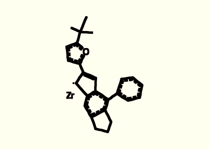 CC(C)(C)c1ccc(C2=Cc3c(cc4c(c3-c3ccccc3)CCC4)[CH]2)o1.[Zr]